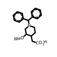 COC1CN(C(c2ccccc2)c2ccccc2)CCC1CC(=O)O